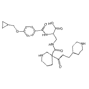 O=C(NC(CNC(=O)C1(C(=O)CCC2CCNCC2)CCCNC1)C(=O)O)c1ccc(OCC2CC2)cc1